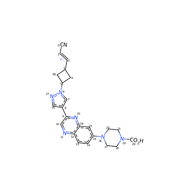 N#C/C=C/C1CC(n2cc(-c3cnc4ccc(N5CCN(C(=O)O)CC5)cc4n3)cn2)C1